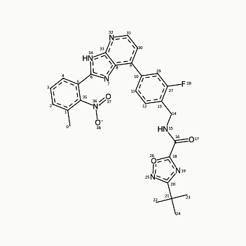 Cc1cccc(-c2nc3c(-c4ccc(CNC(=O)c5nc(C(C)(C)C)no5)c(F)c4)ccnc3[nH]2)c1[N+](=O)[O-]